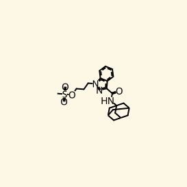 CS(=O)(=O)OCCCn1nc(C(=O)NC23CC4CC(CC(C4)C2)C3)c2ccccc21